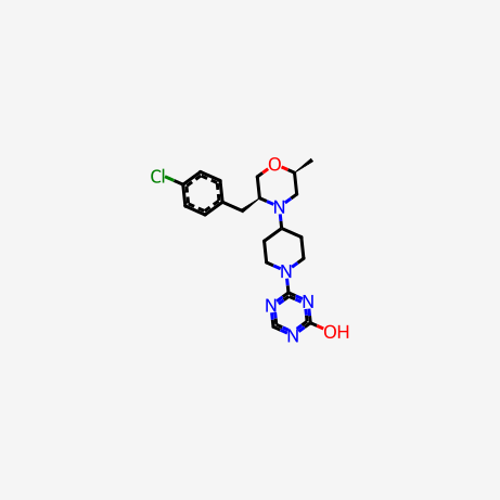 C[C@H]1CN(C2CCN(c3ncnc(O)n3)CC2)[C@@H](Cc2ccc(Cl)cc2)CO1